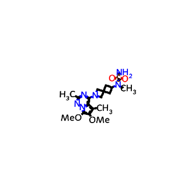 COc1c(C)c2c(N3CC4(CC(N(C)S(N)(=O)=O)C4)C3)nc(C)nn2c1OC